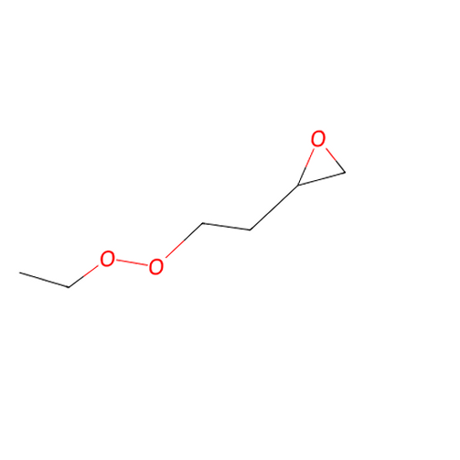 CCOOCCC1CO1